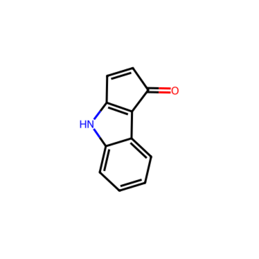 O=C1C=Cc2[nH]c3ccccc3c21